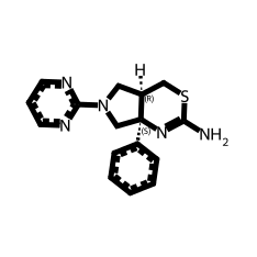 NC1=N[C@@]2(c3ccccc3)CN(c3ncccn3)C[C@H]2CS1